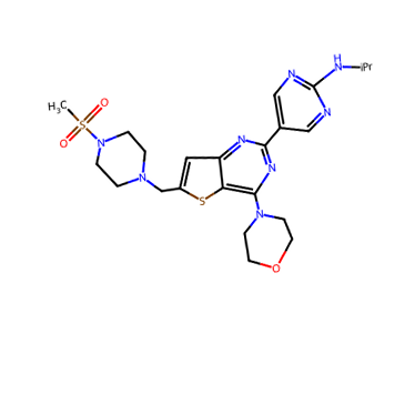 CC(C)Nc1ncc(-c2nc(N3CCOCC3)c3sc(CN4CCN(S(C)(=O)=O)CC4)cc3n2)cn1